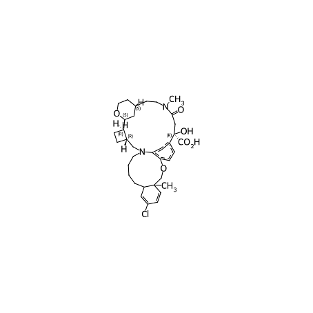 CN1CC[C@H]2CCO[C@@H](C2)[C@@H]2CC[C@H]2CN2CCCCC3C=C(Cl)C=CC3(C)COc3ccc(cc32)[C@@](O)(C(=O)O)CC1=O